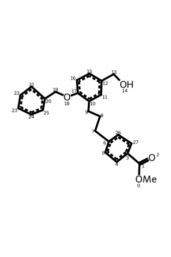 COC(=O)c1ccc(CCCc2cc(CO)ccc2OCc2ccccc2)cc1